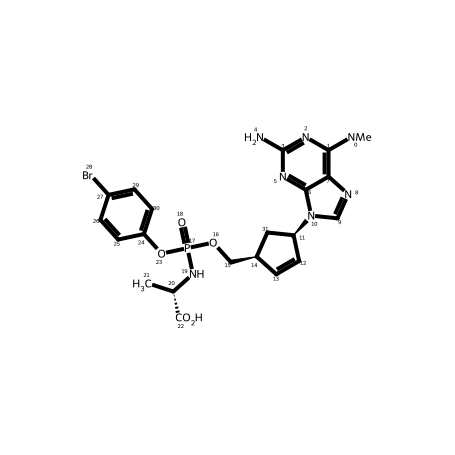 CNc1nc(N)nc2c1ncn2[C@H]1C=C[C@@H](COP(=O)(N[C@@H](C)C(=O)O)Oc2ccc(Br)cc2)C1